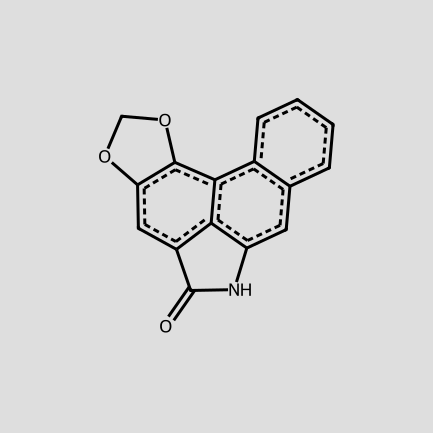 O=C1Nc2cc3ccccc3c3c4c(cc1c23)OCO4